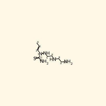 CC=CN(NCCNCCN)C(N)=S